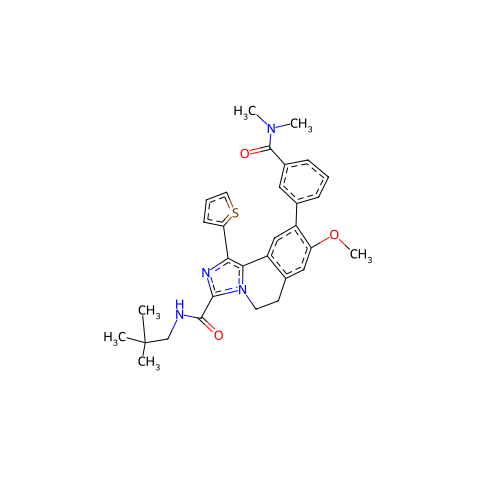 COc1cc2c(cc1-c1cccc(C(=O)N(C)C)c1)-c1c(-c3cccs3)nc(C(=O)NCC(C)(C)C)n1CC2